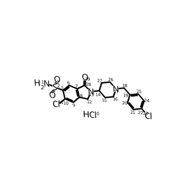 Cl.NS(=O)(=O)c1cc2c(cc1Cl)CN(C1CCN(Cc3ccc(Cl)cc3)CC1)C2=O